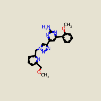 COCc1cccc(Cn2cc(-c3cc(-c4ccccc4OC)nc(N)n3)nn2)n1